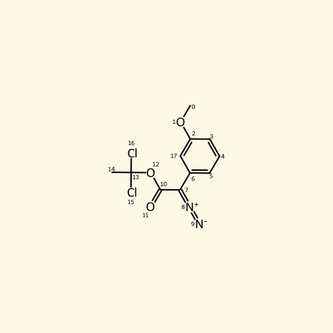 COc1cccc(C(=[N+]=[N-])C(=O)OC(C)(Cl)Cl)c1